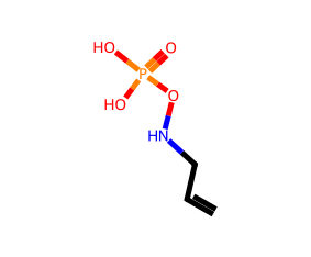 C=CCNOP(=O)(O)O